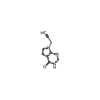 C#CCn1ccc2c(=O)[nH]cnc21